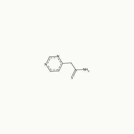 NC(=S)Cc1ccncn1